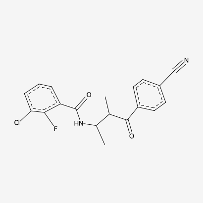 CC(NC(=O)c1cccc(Cl)c1F)C(C)C(=O)c1ccc(C#N)cc1